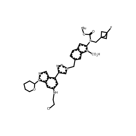 CC(C)(C)OC(=O)N(CC12CC(F)(C1)C2)c1cc2ccc(Cn3cc(-c4cc(NCCCl)cc5c4cnn5C4CCCCO4)nn3)cc2n1C(=O)O